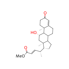 COC(=O)/C=C/[C@@H](C)[C@H]1CCC2C3CCC4=CC(=O)CC[C@]4(C)C3[C@@H](O)C[C@@]21C